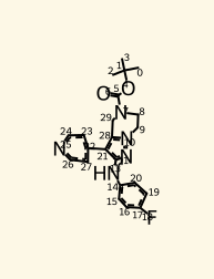 CC(C)(C)OC(=O)N1CCn2nc(Nc3ccc(F)cc3)c(-c3ccncc3)c2C1